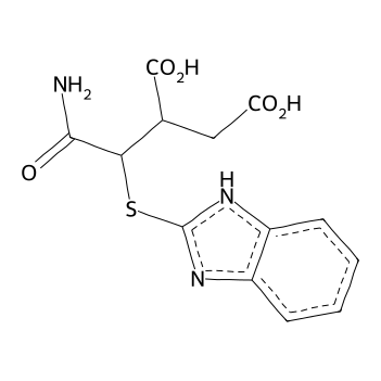 NC(=O)C(Sc1nc2ccccc2[nH]1)C(CC(=O)O)C(=O)O